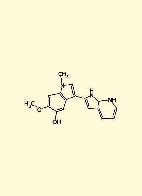 COc1cc2c(cc1O)c(C1=CC3=CC=CNC3N1)cn2C